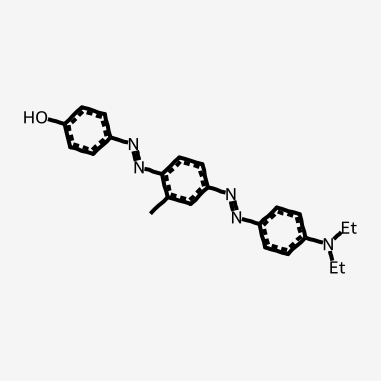 CCN(CC)c1ccc(N=Nc2ccc(N=Nc3ccc(O)cc3)c(C)c2)cc1